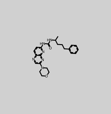 CC(CCCc1ccccc1)NC(=O)Nc1ccc2ncc(N3CCOCC3)nc2n1